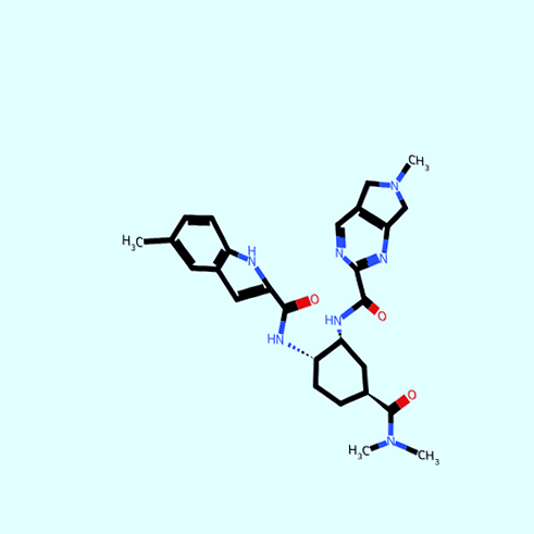 Cc1ccc2[nH]c(C(=O)N[C@H]3CC[C@H](C(=O)N(C)C)C[C@H]3NC(=O)c3ncc4c(n3)CN(C)C4)cc2c1